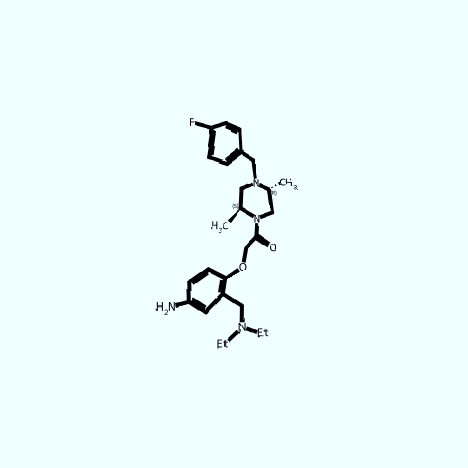 CCN(CC)Cc1cc(N)ccc1OCC(=O)N1C[C@@H](C)N(Cc2ccc(F)cc2)C[C@@H]1C